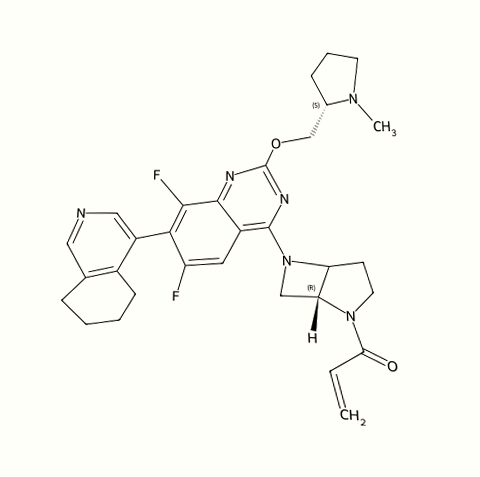 C=CC(=O)N1CCC2[C@H]1CN2c1nc(OC[C@@H]2CCCN2C)nc2c(F)c(-c3cncc4c3CCCC4)c(F)cc12